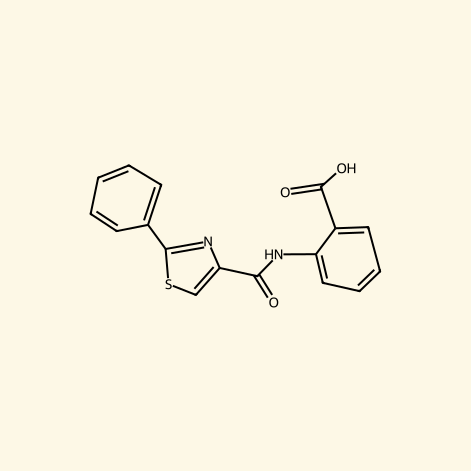 O=C(Nc1ccccc1C(=O)O)c1csc(-c2ccccc2)n1